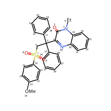 CCn1c(=O)c(C(CS(=O)(=O)c2ccc(OC)cc2)(c2ccccc2)c2ccccc2)nc2ccccc21